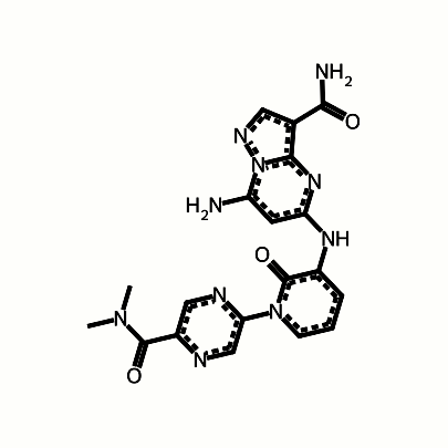 CN(C)C(=O)c1cnc(-n2cccc(Nc3cc(N)n4ncc(C(N)=O)c4n3)c2=O)cn1